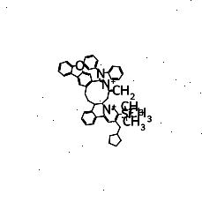 C=C1CC2C(CCc3cc4c(cc3-c3n(-c5ccccc5)c5ccccc5[n+]31)oc1ccccc14)c1ccccc1-c1cc(CC3CCCC3)c([Si](C)(C)C)c[n+]12